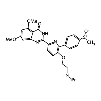 COc1cc(OC)c2c(=O)[nH]c(-c3ccc(OCCNC(C)C)c(-c4ccc([S+](C)[O-])cc4)n3)nc2c1